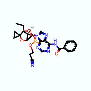 CC[C@]12O[C@@H](n3cnc4c(NC(=O)c5ccccc5)ncnc43)C(OC13CC3)[C@H]2OP(C)OCCC#N